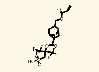 C=CC(=O)OCC1CC2OC1CC2C(=O)OC(CS(=O)(=O)O)(C(F)(F)F)C(F)(F)F